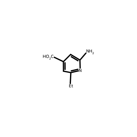 CCc1cc(C(=O)O)cc(N)n1